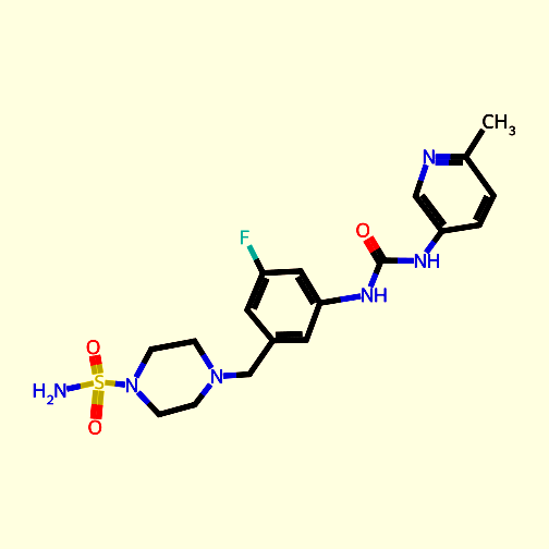 Cc1ccc(NC(=O)Nc2cc(F)cc(CN3CCN(S(N)(=O)=O)CC3)c2)cn1